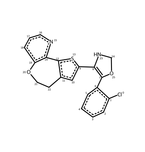 Clc1ccccc1C1=C(c2cc3c(s2)-c2ncccc2OCC3)NCO1